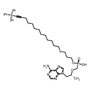 CC(C)S(C#CCCCCCCCCCCCSCCCOP(=O)(O)CO[C@H](C)Cn1cnc2c(N)ncnc21)(C(C)C)C(C)C